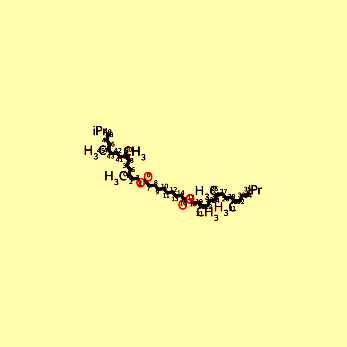 CC(=CCOC(=O)CCCCCCCCC(=O)OCC=C(C)CCC[C@H](C)CCC[C@H](C)CCCC(C)C)CCC[C@H](C)CCC[C@H](C)CCCC(C)C